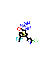 CN1C(=N)N[C@](C)(c2cc(-c3cncc(Cl)c3)cs2)[C@@H](c2ccc(C(C)(F)F)cc2)C1=O